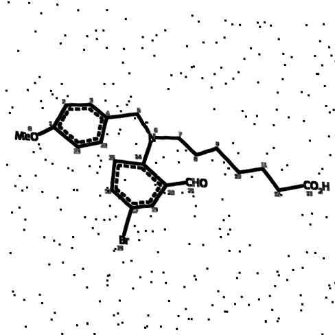 COc1ccc(CN(CCCCCCC(=O)O)c2ccc(Br)cc2C=O)cc1